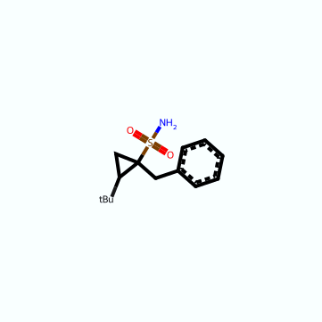 CC(C)(C)C1CC1(Cc1ccccc1)S(N)(=O)=O